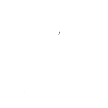 COCCCOc1cc(C[C@H](CCl)C(C)C)ccc1OC